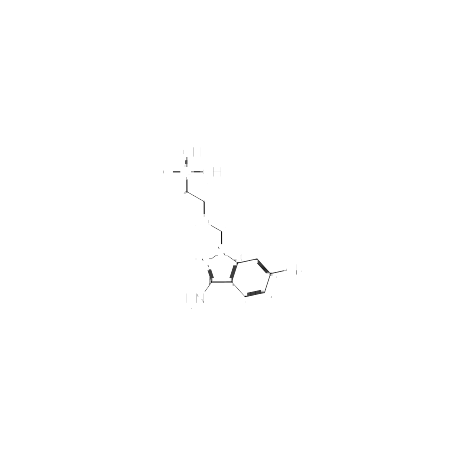 C[Si](C)(C)CCOCn1nc(N)c2ccc(Cl)cc21